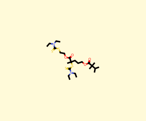 CCN(CC)C(=S)SCCOC(=O)C(C)(CCCOC(=O)C(C)(C)C(C)C)SC(=S)N(CC)CC